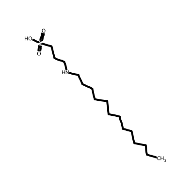 CCCCCCCCCCCCCNCCCS(=O)(=O)O